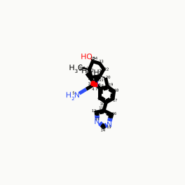 [2H]C1([2H])OC(N)=NC12c1cc(-c3cncnc3)ccc1C[C@]21CC[C@@H](O)[C@H](C)C1